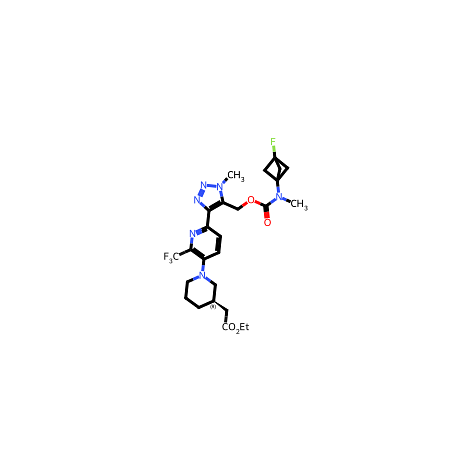 CCOC(=O)C[C@H]1CCCN(c2ccc(-c3nnn(C)c3COC(=O)N(C)C34CC(F)(C3)C4)nc2C(F)(F)F)C1